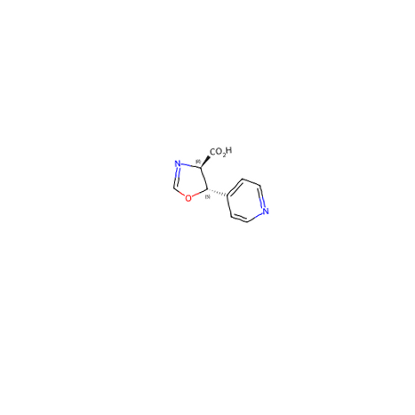 O=C(O)[C@@H]1N=CO[C@H]1c1ccncc1